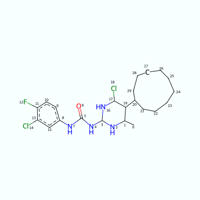 CC1NC(NC(=O)Nc2ccc(F)c(Cl)c2)NC(Cl)C1C1CCCCCCCCC1